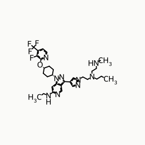 CCCN(CCNC)CCn1cc(-c2nn([C@H]3CC[C@@H](Oc4nccc(C(F)(F)F)c4F)CC3)c3cc(NCC)ncc23)cn1